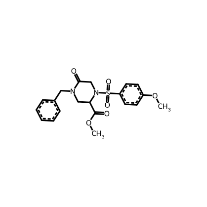 COC(=O)C1CN(Cc2ccccc2)C(=O)CN1S(=O)(=O)c1ccc(OC)cc1